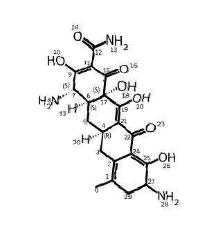 CC1=C2C[C@H]3C[C@H]4[C@H](N)C(O)=C(C(N)=O)C(=O)[C@@]4(O)C(O)=C3C(=O)C2=C(O)C(N)C1